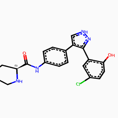 O=C(Nc1ccc(-c2c[nH]nc2-c2cc(Cl)ccc2O)cc1)[C@@H]1CCCCN1